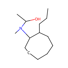 CCCC1CCCCCCC1N(C)C(C)O